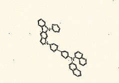 c1ccc(-n2c3ccccc3c3cc4ccn(-c5ccc(-c6ccc(N(c7ccc8ccccc8c7)c7cccc8ccccc78)cc6)cc5)c4cc32)cc1